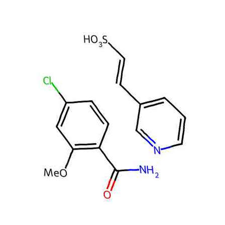 COc1cc(Cl)ccc1C(N)=O.O=S(=O)(O)/C=C/c1cccnc1